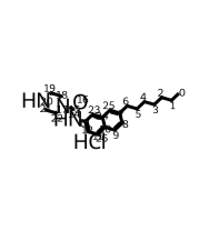 CCCCCCCc1ccc2ccc(NC(=O)N3CCNCC3)cc2c1.Cl